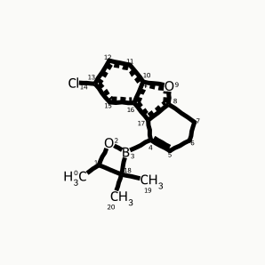 CC1OB(C2=CCCc3oc4ccc(Cl)cc4c32)C1(C)C